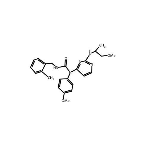 COCC(C)Nc1nccc(N(C(=O)NCc2ccccc2C)c2ccc(OC)cc2)n1